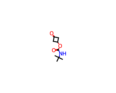 CC(C)(C)NC(=O)OC1CC(=O)C1